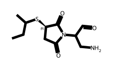 CCC(C)S[C@@H]1CC(=O)N(C(C=O)CN)C1=O